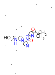 C=C(C)c1coc2ccc(C(=O)Nc3cnccc3N3CCCC(NC(=O)O)C3)nc12